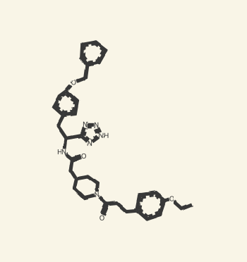 CCOc1ccc(CCC(=O)N2CCC(CC(=O)NC(Cc3ccc(OCc4ccccc4)cc3)c3nn[nH]n3)CC2)cc1